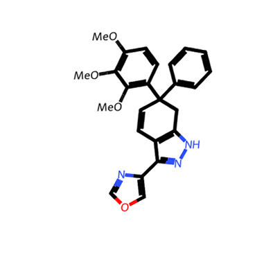 COc1ccc(C2(c3ccccc3)C=Cc3c(-c4cocn4)n[nH]c3C2)c(OC)c1OC